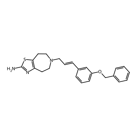 Nc1nc2c(s1)CCN(CC=Cc1cccc(OCc3ccccc3)c1)CC2